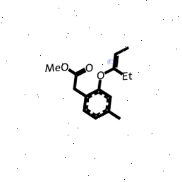 C/C=C(\CC)Oc1cc(C)ccc1CC(=O)OC